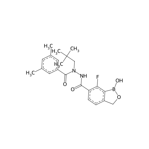 Cc1cc(C)cc(C(=O)N(CC(C)(C)C)NC(=O)c2ccc3c(c2F)B(O)OC3)c1